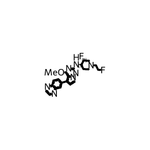 COc1nc(N[C@H]2CCN(CCF)C[C@H]2F)nn2ccc(-c3ccc4nccnc4c3)c12